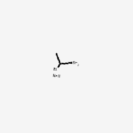 BC(C)CC.[NaH]